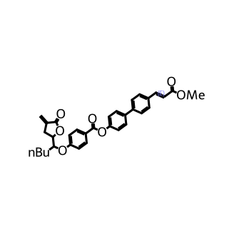 C=C1CC(C(CCCC)Oc2ccc(C(=O)Oc3ccc(-c4ccc(/C=C/C(=O)OC)cc4)cc3)cc2)OC1=O